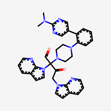 CN(C)c1ncc(-c2ccccc2N2CCN(C(C=O)(C(=O)Cn3ccc4cccnc43)n3ccc4cccnc43)CC2)cn1